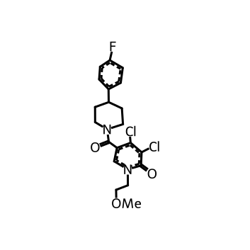 COCCn1cc(C(=O)N2CCC(c3ccc(F)cc3)CC2)c(Cl)c(Cl)c1=O